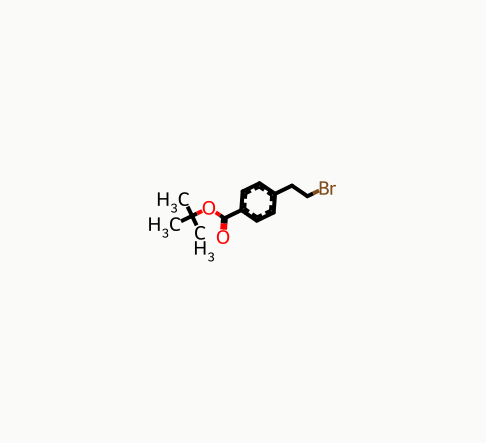 CC(C)(C)OC(=O)c1ccc(CCBr)cc1